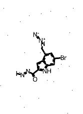 [N-]=[N+]=NCc1cc(Br)cc2[nH]c(C(=O)N=NI)cc12